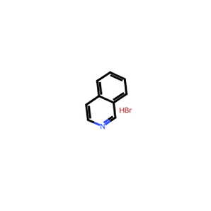 Br.c1ccc2cnccc2c1